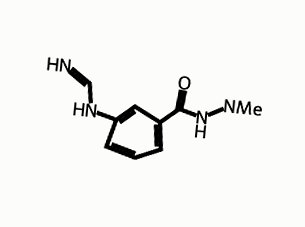 CNNC(=O)c1cccc(NC=N)c1